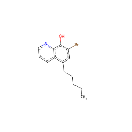 CCCCCc1cc(Br)c(O)c2ncccc12